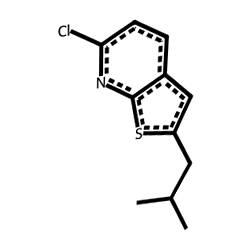 CC(C)Cc1cc2ccc(Cl)nc2s1